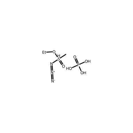 CCO[SH](C)(=O)N=[N+]=[N-].O=P(O)(O)O